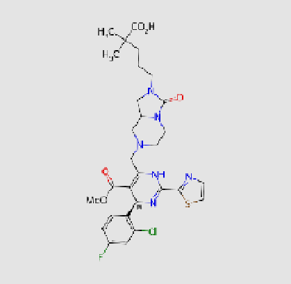 COC(=O)C1=C(CN2CCN3C(=O)N(CCCC(C)(C)C(=O)O)CC3C2)NC(c2nccs2)=N[C@H]1c1ccc(F)cc1Cl